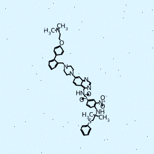 CN(C)CCOc1ccc(-c2ccccc2CN2CCN(c3ccc4c(NS(=O)(=O)c5ccc(NC(C)(C)CSc6ccccc6)c([N+](=O)[O-])c5)ncnc4c3)CC2)cc1